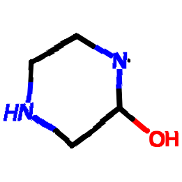 OC1CNCC[N]1